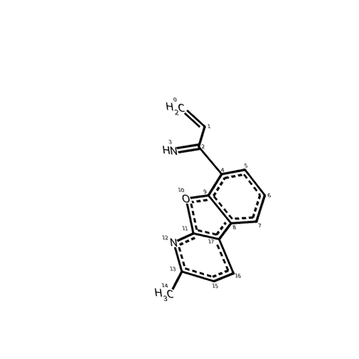 C=CC(=N)c1cccc2c1oc1nc(C)ccc12